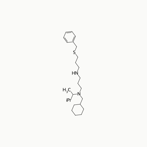 CC(C)C(C)N(CCCNCCCSCc1ccccc1)CC1CCCCC1